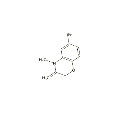 C=C1COc2ccc(C(C)C)cc2N1C